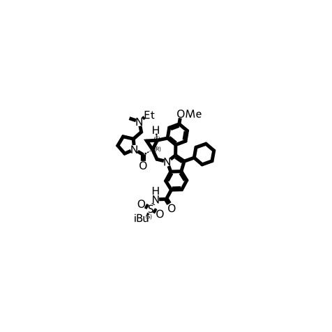 CC[C@H](C)S(=O)(=O)NC(=O)c1ccc2c(C3CCCCC3)c3n(c2c1)C[C@@]1(C(=O)N2CCCC2CN(C)CC)C[C@H]1c1cc(OC)ccc1-3